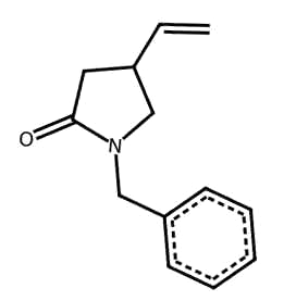 C=CC1CC(=O)N(Cc2ccccc2)C1